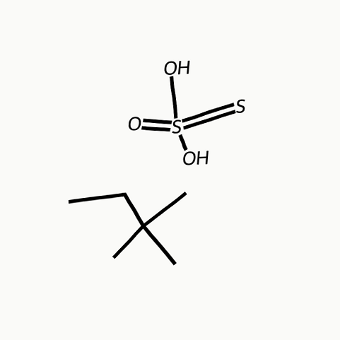 CCC(C)(C)C.O=S(O)(O)=S